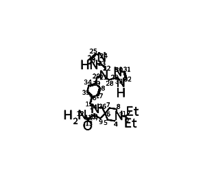 CCC(CC)N1CCC2(CC1)C[C@@H](C(N)=O)N(Cc1ccc(CN(Cc3ncc[nH]3)Cc3ncc[nH]3)cc1)C2